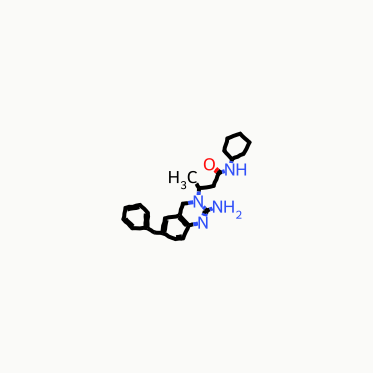 CC(CC(=O)NC1CCCCC1)N1Cc2cc(Cc3ccccc3)ccc2N=C1N